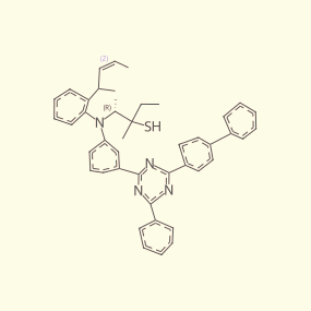 C/C=C\C(C)c1ccccc1N(c1cccc(-c2nc(-c3ccccc3)nc(-c3ccc(-c4ccccc4)cc3)n2)c1)[C@H](C)C(C)(S)CC